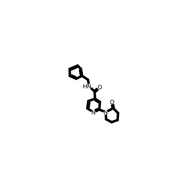 O=C(NCc1ccccc1)c1ccnc(N2CCCCC2=O)c1